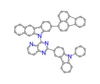 c1ccc(-n2c3ccccc3c3cc(-c4nc(-n5c6cc(-c7ccc8c9c(cccc79)-c7ccccc7-8)ccc6c6cc7ccccc7cc65)c5ncccc5n4)ccc32)cc1